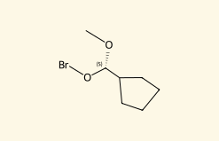 CO[C@@H](OBr)C1CCCC1